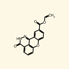 C=COC(=O)c1ccc2c(c1)-c1n[nH]c(=O)c3cccc(c13)O2